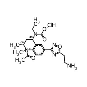 CCN(C(=O)[O-])[C@@H]1C[C@H](C)[N+](C)(C(C)=O)c2ccc(-c3noc(CCN)n3)cc21.Cl